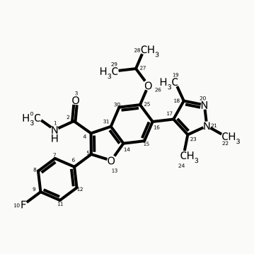 CNC(=O)c1c(-c2ccc(F)cc2)oc2cc(-c3c(C)nn(C)c3C)c(OC(C)C)cc12